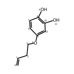 C=CCCOc1ccc(O)c(O)c1